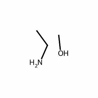 CCN.CO